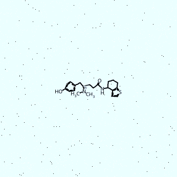 CN(C)[C@H](CCC(=O)NC1CCCc2sccc21)Cc1ccc(O)cc1